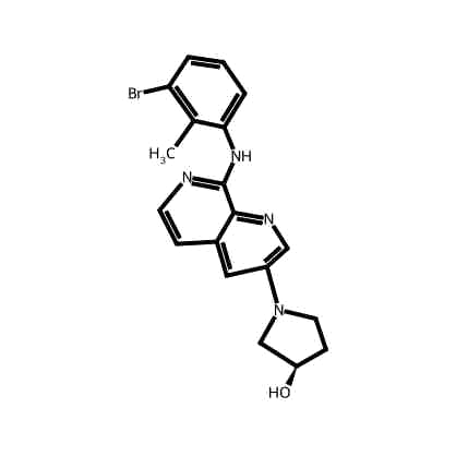 Cc1c(Br)cccc1Nc1nccc2cc(N3CC[C@@H](O)C3)cnc12